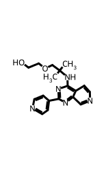 CC(C)(COCCO)Nc1nc(-c2ccncc2)nc2cnccc12